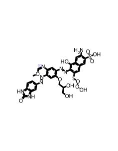 CO/C=N\c1cc(N=Nc2c(SOOO)cc3cc(S(=O)(=O)O)c(N)cc3c2O)c(OCC(O)CO)cc1N=Nc1ccc2[nH]c(=O)[nH]c2c1